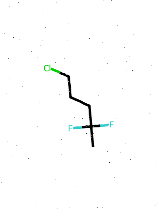 CC(F)(F)CCCCl